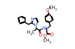 COC(=O)[C@H](Cc1ccc(OC)cc1)NC(=O)C(C)n1ccnc1Cc1ccccc1